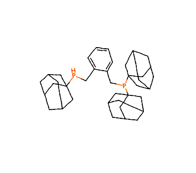 c1ccc(CP(C23CC4CC(CC(C4)C2)C3)C23CC4CC(CC(C4)C2)C3)c(CPC23CC4CC(CC(C4)C2)C3)c1